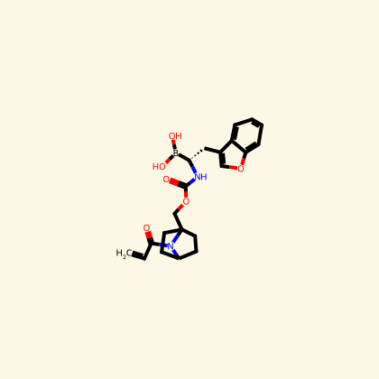 C=CC(=O)N1C2CCC1(COC(=O)N[C@@H](Cc1coc3ccccc13)B(O)O)CC2